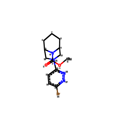 CC(C)(C)OC(=O)N1C2CCCC1CN(c1ccc(Br)nn1)C2